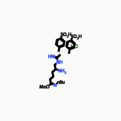 CCCC/N=C(\CCCC(N)CNC(C)=N)OC.Cc1ccc(S(=O)(=O)O)cc1.Cc1ccc(S(=O)(=O)O)cc1.Cl